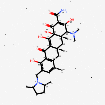 CC(C)c1cc(CN2C(C)CCC2C)c(O)c2c1C[C@H]1C[C@H]3C(N(C)C)C(O)=C(C(N)=O)C(=O)[C@@]3(O)C(O)=C1C2=O